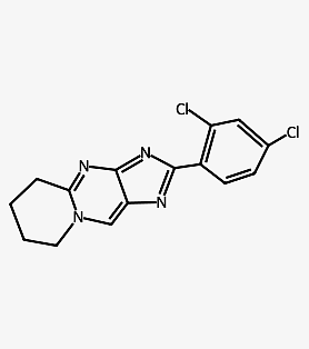 Clc1ccc(-c2nc3cn4c(nc-3n2)CCCC4)c(Cl)c1